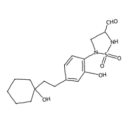 O=CC1CN(c2ccc(CCC3(O)CCCCC3)cc2O)S(=O)(=O)N1